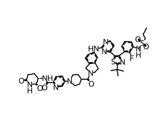 CCCS(=O)(=O)Nc1cccc(-c2nc(C(C)(C)C)sc2-c2ccnc(Nc3ccc4c(c3)CCN(C(=O)C3CCN(c5ccc(C(=O)N[C@@H]6CCC(=O)NC6=O)nc5)CC3)C4)n2)c1F